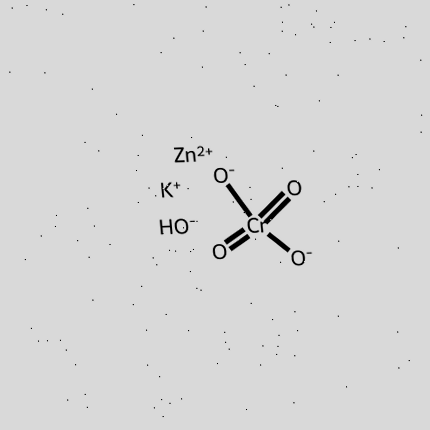 [K+].[OH-].[O]=[Cr](=[O])([O-])[O-].[Zn+2]